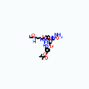 CC(C)C(C)C(=O)OCc1ccc(NC(=O)[C@H](CCCNC(N)=O)NC(=O)C(NC(=O)CCCCNC(=O)CI)C(C)C)cc1